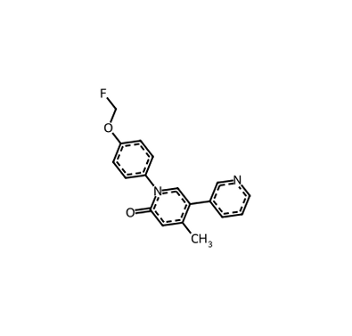 Cc1cc(=O)n(-c2ccc(OCF)cc2)cc1-c1cccnc1